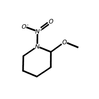 COC1CCCCN1[N+](=O)[O-]